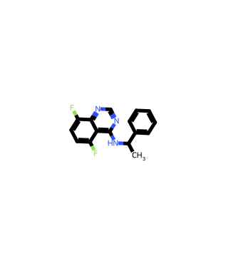 CC(Nc1ncnc2c(F)ccc(F)c12)c1ccccc1